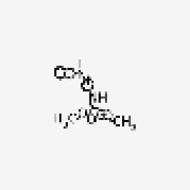 CCOOC/C(=C\Nc1ccc(NC2Cc3ccccc3C2)nc1)C(=O)OCC